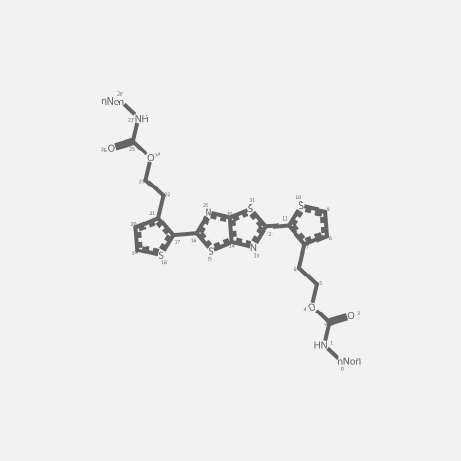 CCCCCCCCCNC(=O)OCCc1ccsc1-c1nc2sc(-c3sccc3CCOC(=O)NCCCCCCCCC)nc2s1